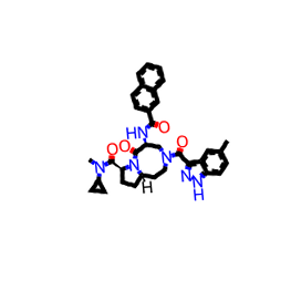 Cc1ccc2[nH]nc(C(=O)N3CC[C@H]4CC[C@@H](C(=O)N(C)C5CC5)N4C(=O)[C@@H](NC(=O)c4ccc5ccccc5c4)C3)c2c1